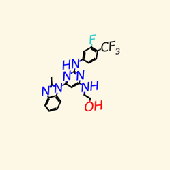 Cc1nc2ccccc2n1-c1cc(NCCO)nc(Nc2ccc(C(F)(F)F)c(F)c2)n1